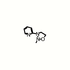 CN1OCCN1c1ccccn1